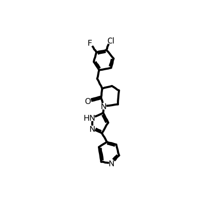 O=C1C(Cc2ccc(Cl)c(F)c2)CCCN1c1cc(-c2ccncc2)n[nH]1